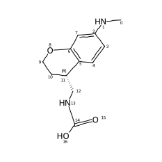 CNc1ccc2c(c1)OCC[C@H]2CNC(=O)O